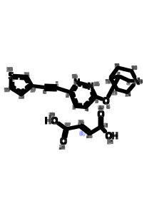 C(#Cc1ccc(OC2CN3CCC2CC3)nn1)c1ccsc1.O=C(O)/C=C/C(=O)O